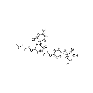 CCCCCOCCN(CCOc1ccc(CC(OCC)C(=O)O)cc1)C(=O)Nc1ccc(Cl)cc1Cl